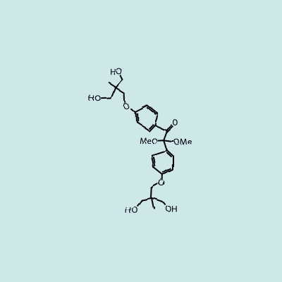 COC(OC)(C(=O)c1ccc(OCC(C)(CO)CO)cc1)c1ccc(OCC(C)(CO)CO)cc1